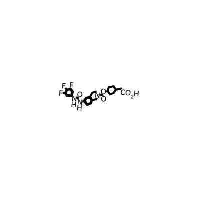 O=C(O)CC1CCC(OC(=O)N2CCc3cc(NC(=O)Nc4cc(F)c(F)c(F)c4)ccc3C2)CC1